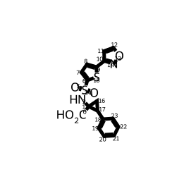 O=C(O)C1(NS(=O)(=O)c2ccc(-c3ccon3)s2)CC1c1ccccc1